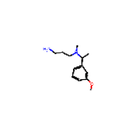 COc1cccc(C(C)N(C)CCCN)c1